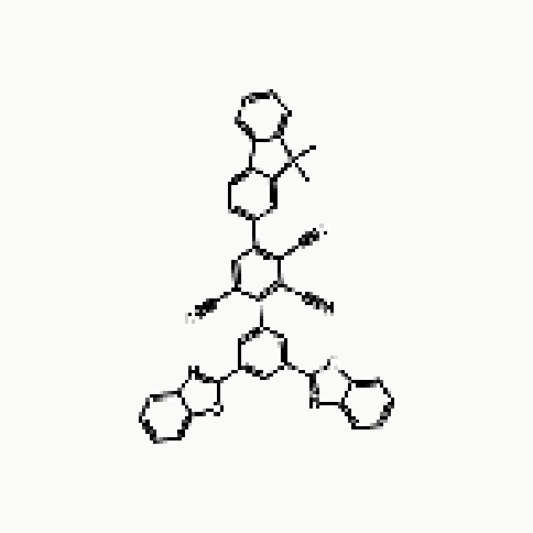 CC1(C)c2ccccc2-c2ccc(-c3cc(C#N)c(-c4cc(-c5nc6ccccc6o5)cc(-c5nc6ccccc6o5)c4)c(C#N)c3C#N)cc21